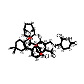 CC1(C)CCC(CN2C3CCC2CN(C(=O)c2ccc4c(c2F)CN(C2CCC(=O)NC2=O)C4=O)C3)=C(c2ccc(Cl)cc2)C1